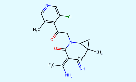 Cc1cncc(Cl)c1C(=O)CN(C(=O)/C(C=N)=C(/N)C(F)(F)F)C1CC1(C)C